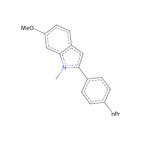 CCCc1ccc(-c2cc3ccc(OC)cc3n2C)cc1